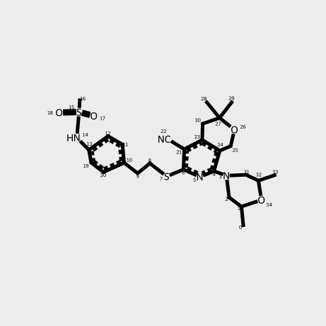 CC1CN(c2nc(SCCc3ccc(NS(C)(=O)=O)cc3)c(C#N)c3c2COC(C)(C)C3)CC(C)O1